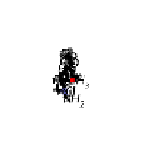 COc1c(N2CCC/C(=C(/Cl)CN)C2)c(F)cc2c(=O)c(C(=O)OC(=O)C(F)(F)F)cn(C3CC3)c12